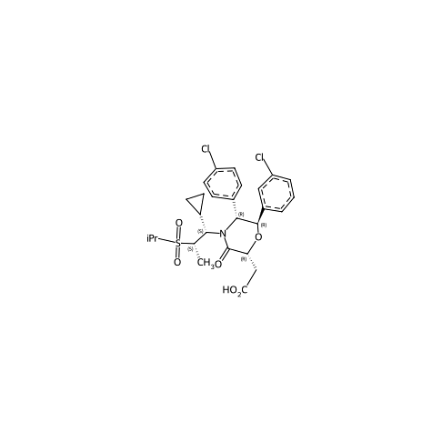 CC(C)S(=O)(=O)[C@@H](C)[C@H](C1CC1)N1C(=O)[C@@H](CC(=O)O)O[C@H](c2cccc(Cl)c2)[C@H]1c1ccc(Cl)cc1